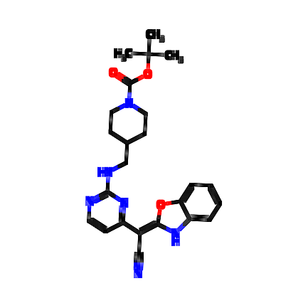 CC(C)(C)OC(=O)N1CCC(CNc2nccc(/C(C#N)=C3/Nc4ccccc4O3)n2)CC1